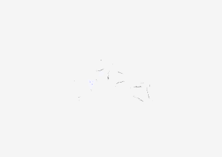 CCN(CC)C/C=C(/C)c1ccc(-c2ccc(Cl)cc2)cc1